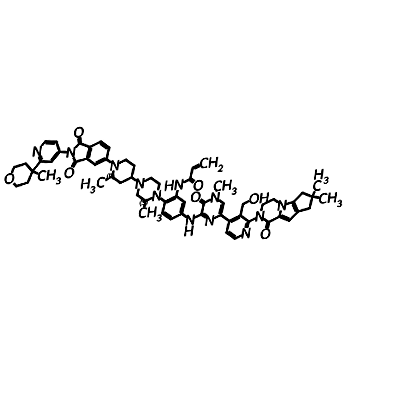 C=CC(=O)Nc1cc(Nc2nc(-c3ccnc(N4CCn5c(cc6c5CC(C)(C)C6)C4=O)c3CO)cn(C)c2=O)ccc1N1CCN(C2CCN(c3ccc4c(c3)C(=O)N(c3ccnc(C5(C)CCOCC5)c3)C4=O)[C@H](C)C2)C[C@@H]1C